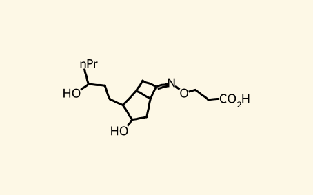 CCCC(O)CCC1C(O)CC2C(=NOCCC(=O)O)CC21